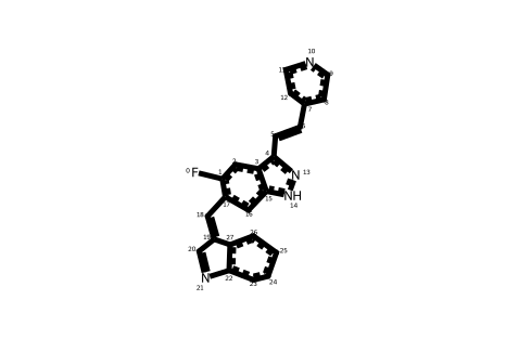 Fc1cc2c(/C=C/c3ccncc3)n[nH]c2cc1/C=C1/C=Nc2ccccc21